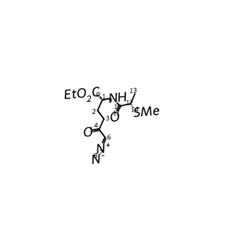 CCOC(=O)[C@H](CCC(=O)C=[N+]=[N-])NC(=O)[C@H](C)SC